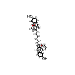 Oc1ccc2c(c1)[C@@]13CCCC[C@H]1[C@@H](C2)N(CCCCCCN1CC[C@]24CCCC[C@H]2[C@H]1Cc1ccc(O)cc14)CC3